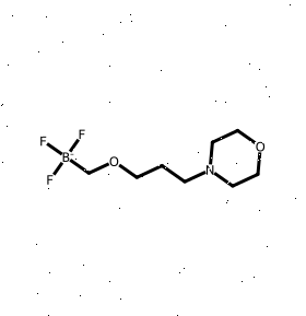 F[B-](F)(F)COCCCN1CCOCC1